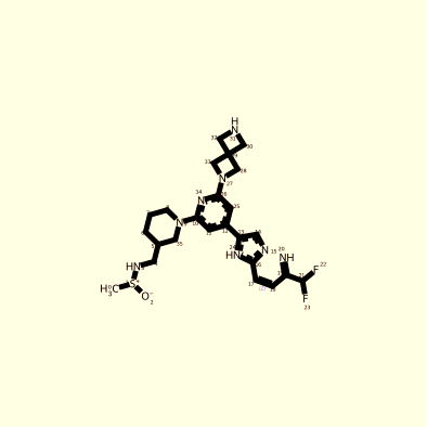 C[S+]([O-])NCC1CCCN(c2cc(-c3cnc(/C=C\C(=N)C(F)F)[nH]3)cc(N3CC4(CNC4)C3)n2)C1